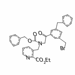 CCOC(=O)c1ncccc1CN(CC(=O)c1cc(CBr)cc(Cc2ccccc2)c1)C(=O)OCc1ccccc1